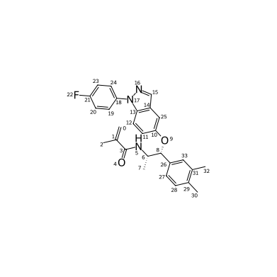 C=C(C)C(=O)N[C@@H](C)[C@H](Oc1ccc2c(cnn2-c2ccc(F)cc2)c1)c1ccc(C)c(C)c1